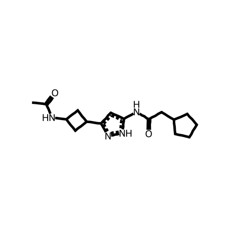 CC(=O)NC1CC(c2cc(NC(=O)CC3CCCC3)[nH]n2)C1